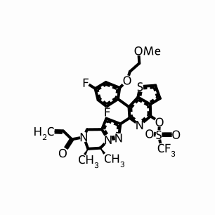 C=CC(=O)N1Cc2cc(-c3nc(OS(=O)(=O)C(F)(F)F)c4ccsc4c3-c3c(F)cc(F)cc3OCCOC)nn2[C@@H](C)[C@H]1C